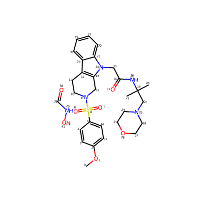 COc1ccc(S(=O)(=O)N2CCc3c(n(CC(=O)NC(C)(C)CN4CCOCC4)c4ccccc34)C2)cc1.O=CNO